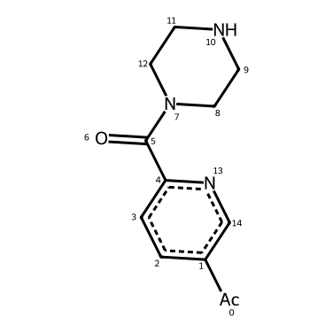 CC(=O)c1ccc(C(=O)N2CCNCC2)nc1